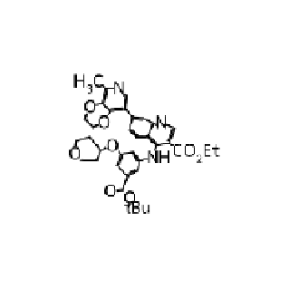 CCOC(=O)c1cnc2cc(-c3cnc(C)c4c3OCCO4)ccc2c1Nc1cc(OC2CCOCC2)cc(C(=O)OC(C)(C)C)c1